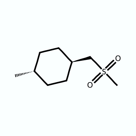 CS(=O)(=O)C[C@H]1CC[C@H](C)CC1